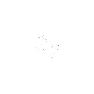 NC(CCNc1ccc(Cl)cc1)Cc1cc(C(F)(F)F)cc(C(F)(F)F)c1.O=C(CCNC(=O)c1cc(C(F)(F)F)cc(C(F)(F)F)c1)Nc1ccc(Cl)cc1